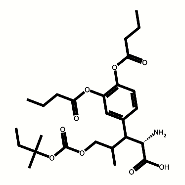 CCCC(=O)Oc1ccc(C(C(C)COC(=O)OC(C)(C)CC)[C@H](N)C(=O)O)cc1OC(=O)CCC